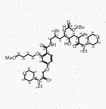 CCN(C(=O)COc1ccc(C(=O)NCC(CC(NC(=O)OC(C)(C)C)C(O)CC(C(=O)N(CC)N2CCOCC2)C(C)C)C(C)C)c(OCCCCOC)c1)N1CCOCC1